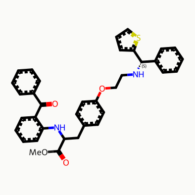 COC(=O)C(Cc1ccc(OCCN[C@@H](c2ccccc2)c2cccs2)cc1)Nc1ccccc1C(=O)c1ccccc1